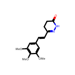 COc1cc(C=CC2=NNC(=O)CC2)cc(OC)c1OC